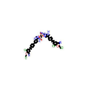 CC(C)(c1ccc(-c2ccc3c(NS(=O)(=O)CCS(=O)(=O)Nc4ncc5c(-c6ccc(C(C)(C)c7cc(Cl)c(OCCCl)c(C#N)c7)cc6)c[nH]c5n4)ncnc3c2)cc1)c1cc(Cl)c(OCCCl)c(C#N)c1